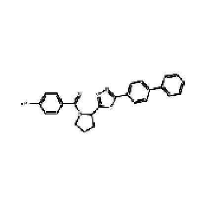 CCCc1ccc(C(=O)N2CCCC2c2nnc(-c3ccc(-c4ccccc4)cc3)o2)cc1